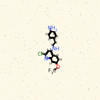 Nc1ccc(CCNc2cc(Cl)nc3cc(OC(F)(F)F)ccc23)cc1